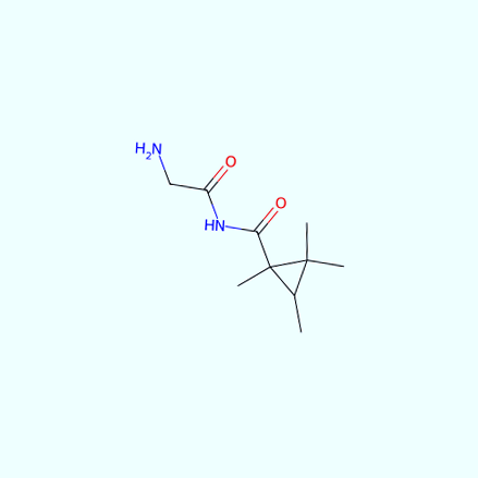 CC1C(C)(C)C1(C)C(=O)NC(=O)CN